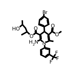 COC(=O)C1=C(C)N(c2cccc(C(F)(F)F)c2)C(N)=C(C(=O)OC(C)CC(C)O)C1c1ccc(Br)cc1